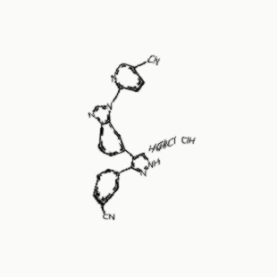 Cl.Cl.Cl.N#Cc1ccc(-n2cnc3ccc(-c4c[nH]nc4-c4cccc(C#N)c4)cc32)nc1